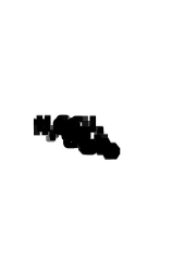 CC12CC3(C)C4(C)CC(C)(c5nc(-c6cccc(-c7cc8ccccc8cn7)c6)ncc51)C234